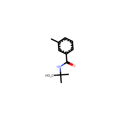 Cc1cccc(C(=O)NC(C)(C)C(=O)O)c1